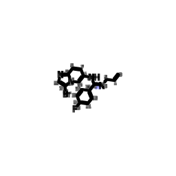 C=CC/N=C(\Nc1ccc2ncc(Br)n2c1)c1ccc(F)cc1